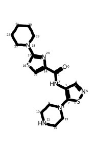 O=C(Nc1cnsc1N1CCNCC1)c1csc(N2CCCCC2)n1